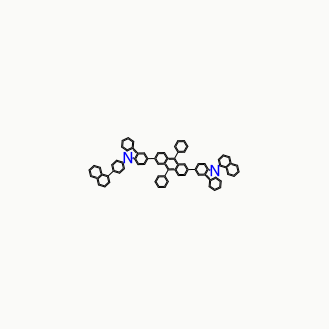 c1ccc(-c2c3ccc(-c4ccc5c(c4)c4ccccc4n5-c4cccc5ccccc45)cc3c(-c3ccccc3)c3ccc(-c4ccc5c(c4)c4ccccc4n5-c4ccc(-c5cccc6ccccc56)cc4)cc23)cc1